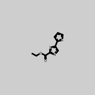 CCOC(=O)c1ncc(-c2cccs2)s1